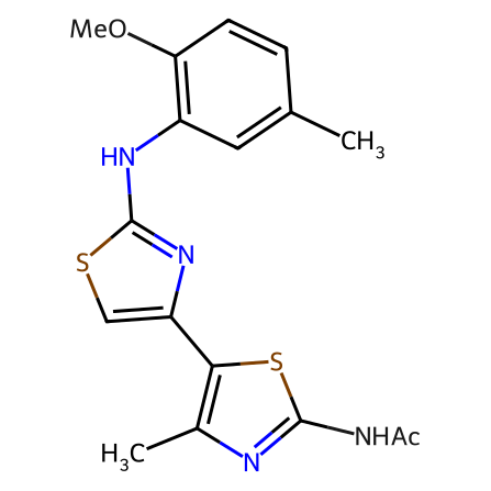 COc1ccc(C)cc1Nc1nc(-c2sc(NC(C)=O)nc2C)cs1